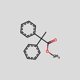 CC(C(=O)O[SiH3])(c1ccccc1)c1ccccc1